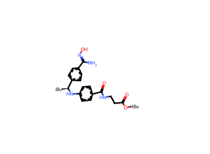 CCC(C)[C@H](Nc1ccc(C(=O)NCCC(=O)OC(C)(C)C)cc1)c1ccc(/C(N)=N/O)cc1